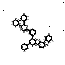 c1ccc(-c2cc(-c3cccc(-c4cnc5c6ccccc6c6ccccc6c5n4)c3)c3oc4c(ccc5oc6ccccc6c54)c3c2)cc1